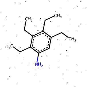 CCc1cc(N)c(CC)c(CC)c1CC